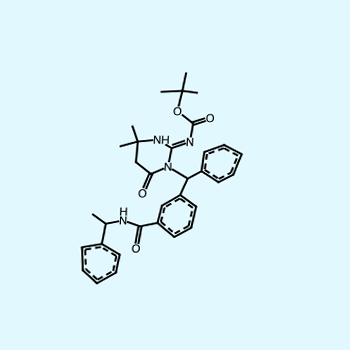 CC(NC(=O)c1cccc(C(c2ccccc2)N2C(=O)CC(C)(C)NC2=NC(=O)OC(C)(C)C)c1)c1ccccc1